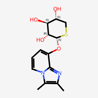 Cc1nc2c(O[C@H]3SC[C@@H](O)[C@H](O)[C@H]3O)cccn2c1C